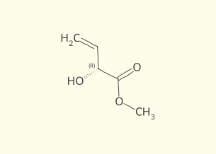 C=C[C@@H](O)C(=O)OC